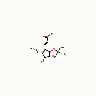 CCCCCC(=O)C=C[C@H]1[C@H](CC(=O)O)[C@H](O)C[C@@H]1O[Si](C)(C)C(C)(C)C